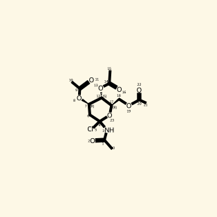 CC(=O)NC1(Cl)C[C@@H](OC(C)=O)[C@H](OC(C)=O)[C@@H](COC(C)=O)O1